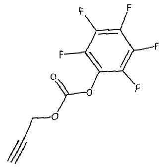 C#CCOC(=O)Oc1c(F)c(F)c(F)c(F)c1F